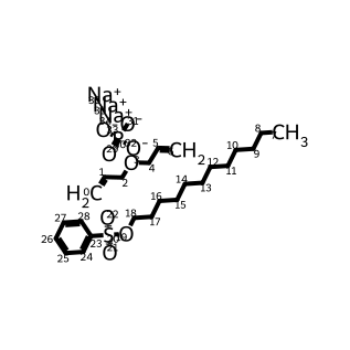 C=CCOCC=C.CCCCCCCCCCCCOS(=O)(=O)c1ccccc1.O=P([O-])([O-])[O-].[Na+].[Na+].[Na+]